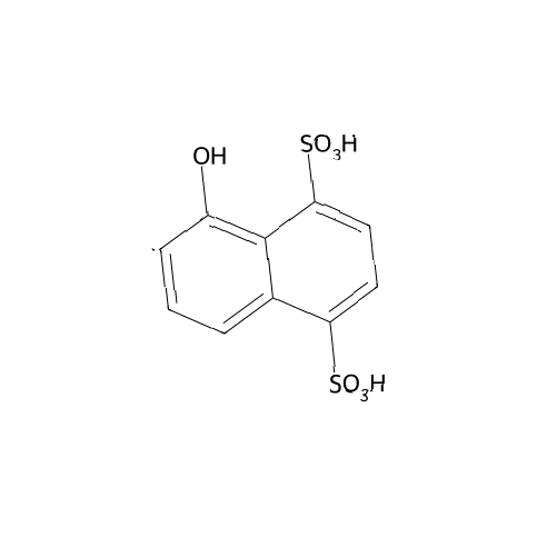 O=S(=O)(O)c1ccc(S(=O)(=O)O)c2c(O)[c]ccc12